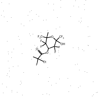 CCC(C)(F)C(=O)OC1C(F)(F)C(C)(C(F)(F)F)OC(O)(C(F)(F)F)C1(F)F